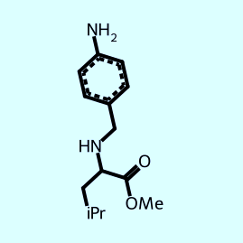 COC(=O)C(CC(C)C)NCc1ccc(N)cc1